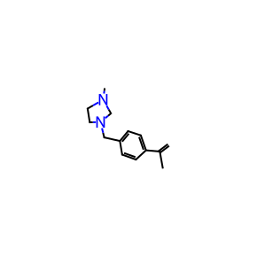 C=C(C)c1ccc(CN2CCN(C)C2)cc1